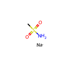 CS(N)(=O)=O.[Na]